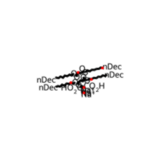 CCCCCCCCCCCCCCCCCCOC(=O)/C=C/C(=O)OCCCCCCCCCCCCCCCCCC.CCCCCCCCCCCCCCCCCCOC(=O)/C=C/C(=O)OCCCCCCCCCCCCCCCCCC.O=C(O)/C=C/C(=O)O.[Na+].[Na+].[Na+].[Na+]